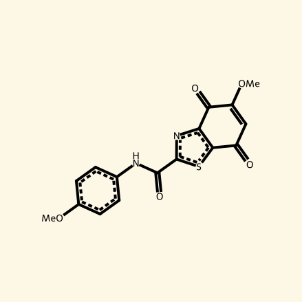 COC1=CC(=O)c2sc(C(=O)Nc3ccc(OC)cc3)nc2C1=O